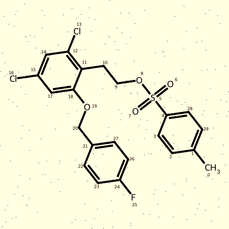 Cc1ccc(S(=O)(=O)OCCc2c(Cl)cc(Cl)cc2OCc2ccc(F)cc2)cc1